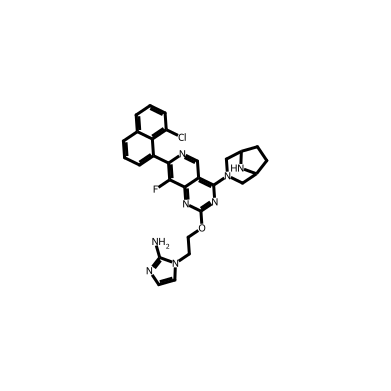 Nc1nccn1CCOc1nc(N2CC3CCC(C2)N3)c2cnc(-c3cccc4cccc(Cl)c34)c(F)c2n1